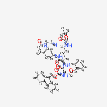 Cc1cc(=O)n(CC#N)c2cc(NC(=O)[C@H](CCCCNC(=O)OC(C)(C)C)NC(=O)[C@H](COCc3ccccc3)NC(=O)OCC3c4ccccc4-c4ccccc43)ccc12